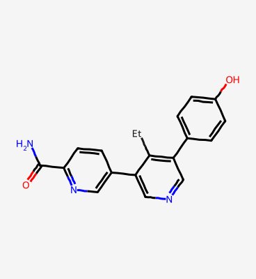 CCc1c(-c2ccc(O)cc2)cncc1-c1ccc(C(N)=O)nc1